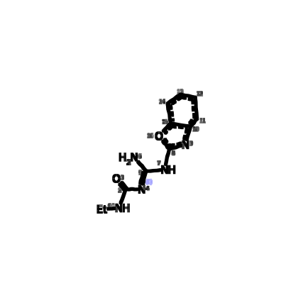 CCNC(=O)/N=C(\N)Nc1nc2ccccc2o1